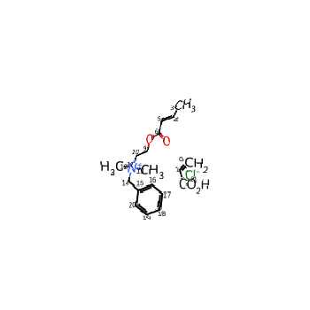 C=CC(=O)O.CC=CC(=O)OCC[N+](C)(C)Cc1ccccc1.[Cl-]